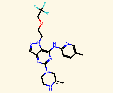 Cc1ccc(Nc2nc(N3CCN[C@H](C)C3)nc3cnn(CCOCC(F)(F)F)c23)nc1